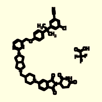 CC(C)(c1ccc(OCc2ccnc(N3CC4CN(CC5CCN(c6ccc7c(c6)C(=O)N(C6CCC(=O)NC6=O)C7=O)CC5)CC4C3)n2)cc1)c1cc(Cl)cc(C#N)c1.O=C(O)C(F)(F)F